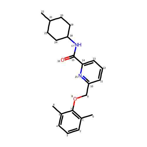 Cc1cccc(C)c1OCc1cccc(C(=O)NC2CCC(C)CC2)n1